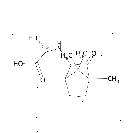 C[C@H](NC1C(=O)C2(C)CCC1C2(C)C)C(=O)O